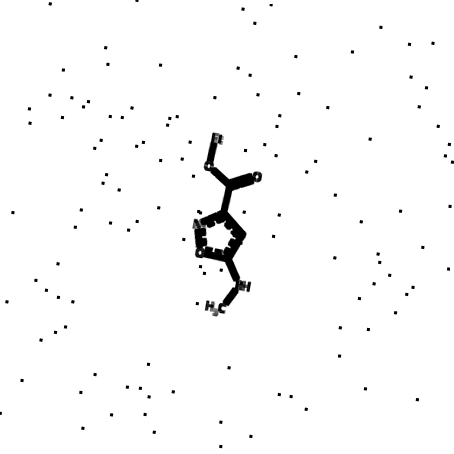 CBc1cc(C(=O)OCC)no1